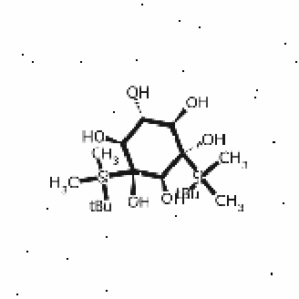 CC(C)(C)[Si](C)(C)[C@@]1(O)[C@@H](O)[C@](O)([Si](C)(C)C(C)(C)C)[C@@H](O)[C@H](O)[C@H]1O